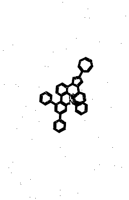 CC(C)c1c(-c2c(Nc3ccccc3)cc(-c3ccccc3)cc2-c2ccccc2)cccc1C1C=C(C2=CCC=CC=C2)C=C1c1ccccc1